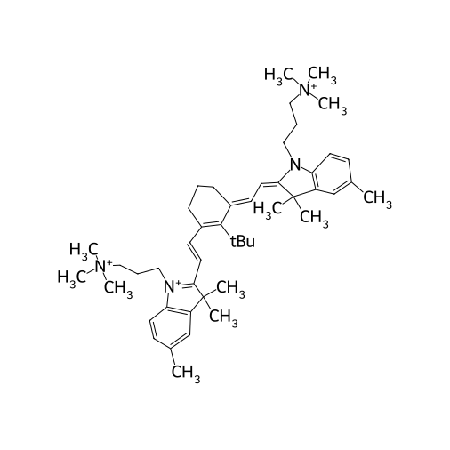 Cc1ccc2c(c1)C(C)(C)C(/C=C/C1=C(C(C)(C)C)C(=C/C=C3/N(CCC[N+](C)(C)C)c4ccc(C)cc4C3(C)C)/CCC1)=[N+]2CCC[N+](C)(C)C